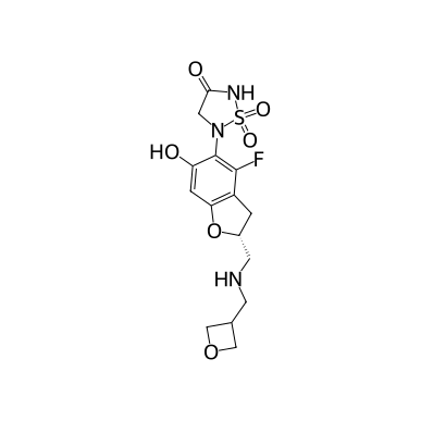 O=C1CN(c2c(O)cc3c(c2F)C[C@H](CNCC2COC2)O3)S(=O)(=O)N1